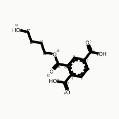 O=C(O)c1ccc(C(=O)O)c(C(=O)OCCCCO)c1